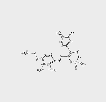 CCc1cc(C2=C(COc3ccc(CCC(=O)O)c(C)c3C)CC(C)(F)CC2)ccc1C